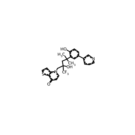 CC(C)(CC(O)(Cn1ccc(=O)c2sccc21)C(F)(F)F)c1cc(-c2cccnc2)ccc1O